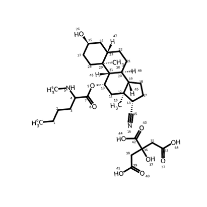 CCCCC(NC)C(=O)O[C@H]1C[C@]2(C)[C@@H](C#N)CC[C@H]2[C@@H]2CC[C@H]3C[C@H](O)CC[C@]3(C)[C@H]21.O=C(O)CC(O)(CC(=O)O)C(=O)O